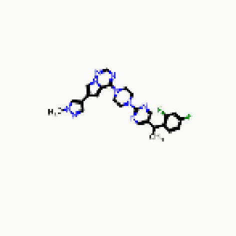 CC(c1cnc(N2CCN(c3ncnn4cc(-c5cnn(C)c5)cc34)CC2)nc1)c1ccc(F)cc1F